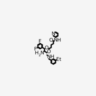 CCc1cccc(CNC[C@@H](OC(=O)CCCC(=O)Nc2cccnc2)[C@@H](N)Cc2cc(F)cc(F)c2)c1